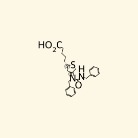 O=C(O)CCCC[C@H]1C[C@@H](N(Cc2ccccc2)C(=O)NCc2ccccc2)CS1